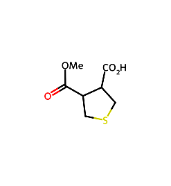 COC(=O)C1CSCC1C(=O)O